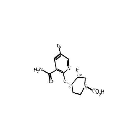 NC(=O)c1cc(Br)cnc1O[C@H]1CCN(C(=O)O)C[C@H]1F